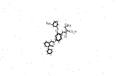 N#Cc1cncc(COc2cc(NCc3cccc(-c4ccccc4)c3Br)ccc2CNC(CO)C(=O)O)c1